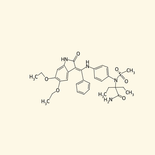 CCOc1cc2c(cc1OCC)/C(=C(/Nc1ccc(N(C(CC)(CC)C(N)=O)S(C)(=O)=O)cc1)c1ccccc1)C(=O)N2